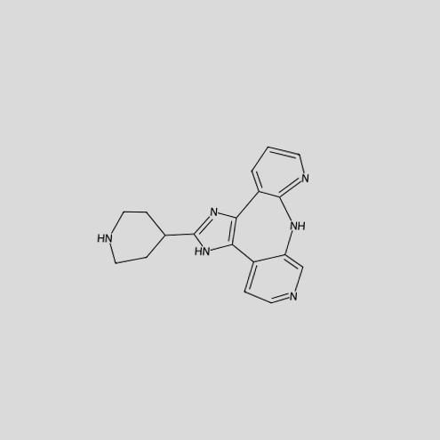 c1cnc2c(c1)-c1nc(C3CCNCC3)[nH]c1-c1ccncc1N2